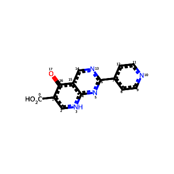 O=C(O)c1c[nH]c2nc(-c3ccncc3)ncc2c1=O